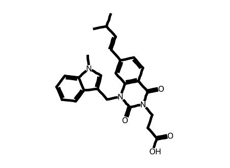 CC(C)C=Cc1ccc2c(=O)n(CCC(=O)O)c(=O)n(Cc3cn(C)c4ccccc34)c2c1